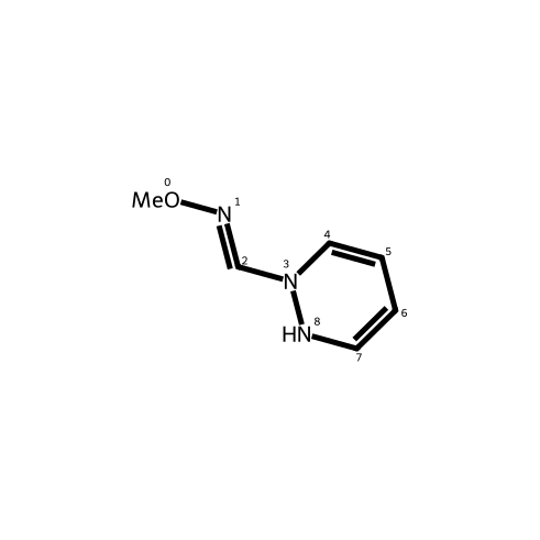 CON=CN1C=CC=CN1